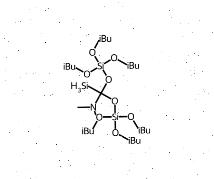 CCC(C)O[Si](OC(C)CC)(OC(C)CC)OC([SiH3])(O[Si](OC(C)CC)(OC(C)CC)OC(C)CC)N(C)C